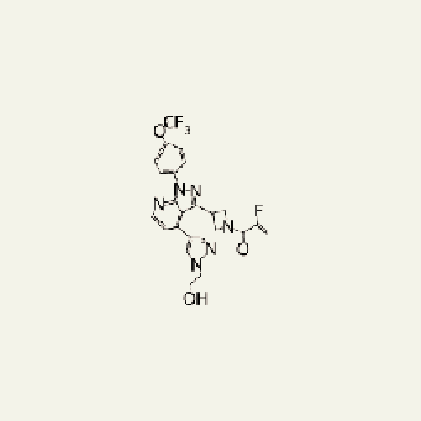 C=C(F)C(=O)N1CC(c2nn(-c3ccc(OC(F)(F)F)cc3)c3nccc(-c4cnn(CCO)c4)c23)C1